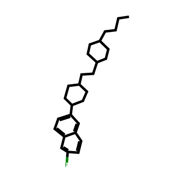 CCCCC1CCC(CCC2CCC(c3ccc4cc(F)ccc4c3)CC2)CC1